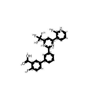 O=C(O)c1cc(-c2cccc(-c3nc(-c4cccnc4F)cc(C(F)(F)F)n3)c2)ccc1F